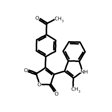 CC(=O)c1ccc(C2=C(c3c(C)[nH]c4ccccc34)C(=O)OC2=O)cc1